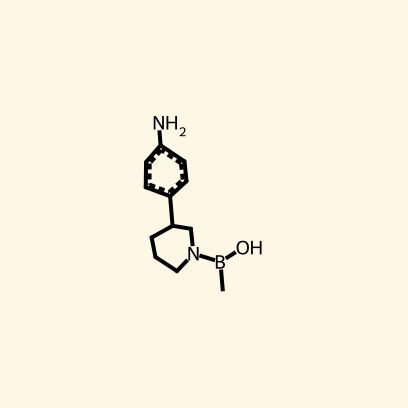 CB(O)N1CCCC(c2ccc(N)cc2)C1